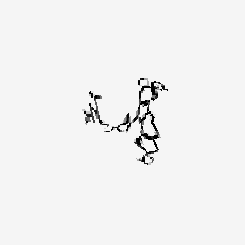 COc1ccc2c(c1)CCC1=C2C(c2ccc(OCCN(C(C)C)C(C)C)cc2)c2cc(Cl)c(OC)cc21